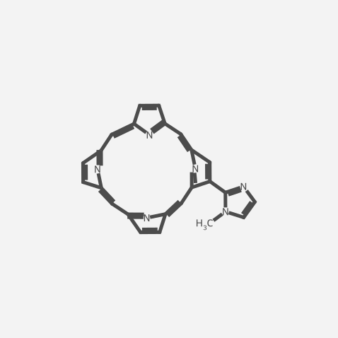 Cn1ccnc1C1=CC2=CC3=NC(=CC4=NC(=CC5=NC(=CC1=N2)C=C5)C=C4)C=C3